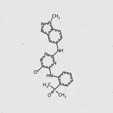 Cn1ncc2cc(Nc3ncc(Cl)c(Nc4ccccc4P(C)(C)=O)n3)ccc21